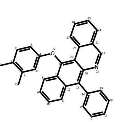 Cc1ccc(Oc2c3ccccc3c(-c3ccccc3)c3ncc4ccccc4c23)cc1C